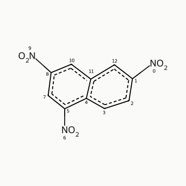 O=[N+]([O-])c1ccc2c([N+](=O)[O-])cc([N+](=O)[O-])cc2c1